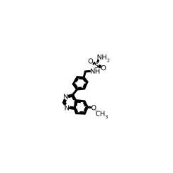 COc1ccc2ncnc(-c3ccc(CNS(N)(=O)=O)cc3)c2c1